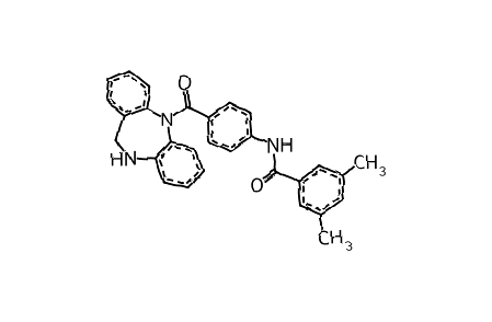 Cc1cc(C)cc(C(=O)Nc2ccc(C(=O)N3c4ccccc4CNc4ccccc43)cc2)c1